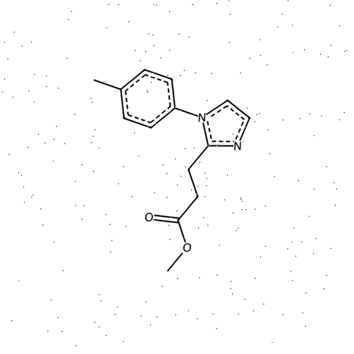 COC(=O)CCc1nccn1-c1ccc(C)cc1